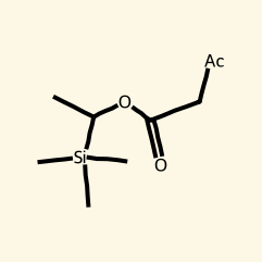 CC(=O)CC(=O)OC(C)[Si](C)(C)C